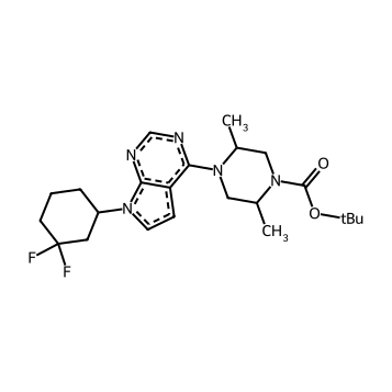 CC1CN(c2ncnc3c2ccn3C2CCCC(F)(F)C2)C(C)CN1C(=O)OC(C)(C)C